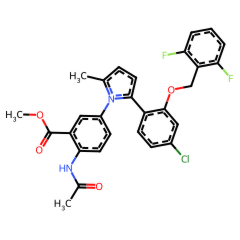 COC(=O)c1cc(-n2c(C)ccc2-c2ccc(Cl)cc2OCc2c(F)cccc2F)ccc1NC(C)=O